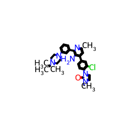 Cc1cc(-c2ccc(-n3ccn(C)c3=O)c(Cl)c2)c(N)c(-c2cccc(N3CCN(C(C)(C)C)CC3)c2)n1